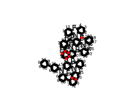 Fc1cccc(F)c1N(c1ccccc1)c1cc2c3c(c1)N(c1c(-c4ccccc4)cccc1C(F)(F)F)c1c(cc4c(c1C(F)(F)F)Sc1cc(N(c5ccc(-c6ccccc6)cc5)c5cccc(-c6ccccc6)c5)cc5c1B4c1ccccc1N5c1c(F)cccc1F)B3c1ccccc1N2c1c(F)cccc1F